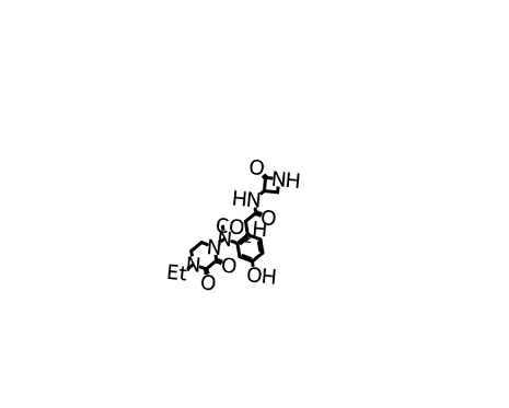 CCN1CCN(N(C(=O)O)c2cc(O)ccc2CC(=O)NC2CNC2=O)C(=O)C1=O